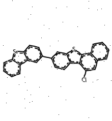 Clc1cc2ccccc2c2sc3cc(-c4ccc5sc6ccccc6c5c4)ccc3c12